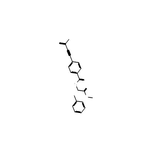 C=C(C)C#Cc1ccc(C(=O)N[C@@H](Cc2ccccc2)C(=O)OC)cc1